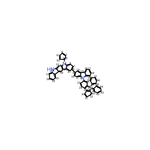 c1ccc(-n2c3ccc(-c4ccc5c(c4)c4ccccc4n5-c4cccc([Si](c5ccccc5)(c5ccccc5)c5ccccc5)c4)cc3c3cc4c(cc32)[nH]c2ccccc24)cc1